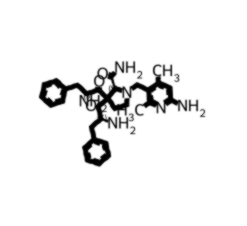 Cc1cc(N)nc(C)c1CN1CCC(C(=O)[C@@H](N)Cc2ccccc2)(C(=O)[C@@H](N)Cc2ccccc2)[C@H]1C(N)=O